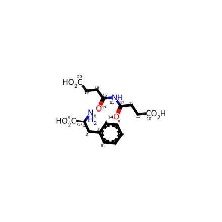 N[C@@H](Cc1ccccc1)C(=O)O.O=C(O)CCC(=O)NC(=O)CCC(=O)O